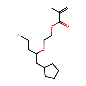 C=C(C)C(=O)OCCOC(CCC(C)C)CC1CCCC1